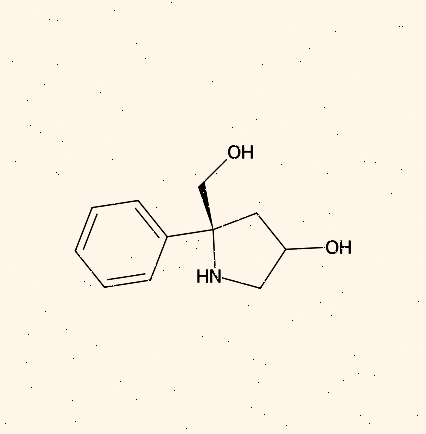 OC[C@@]1(c2ccccc2)CC(O)CN1